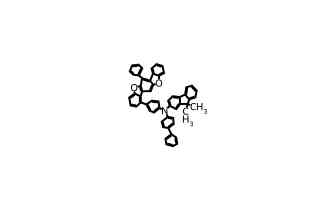 CC1(C)c2ccccc2-c2ccc(N(c3ccc(-c4ccccc4)cc3)c3ccc(-c4cccc5oc6c(-c7ccccc7)c7c(cc6c45)oc4ccccc47)cc3)cc21